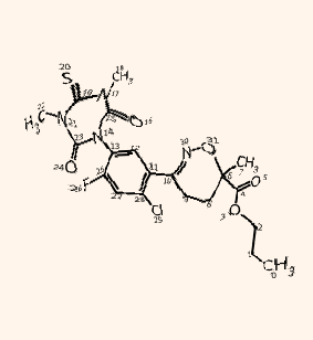 CCCOC(=O)C1(C)CCC(c2cc(-n3c(=O)n(C)c(=S)n(C)c3=O)c(F)cc2Cl)=NO1